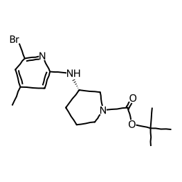 Cc1cc(Br)nc(N[C@H]2CCCN(C(=O)OC(C)(C)C)C2)c1